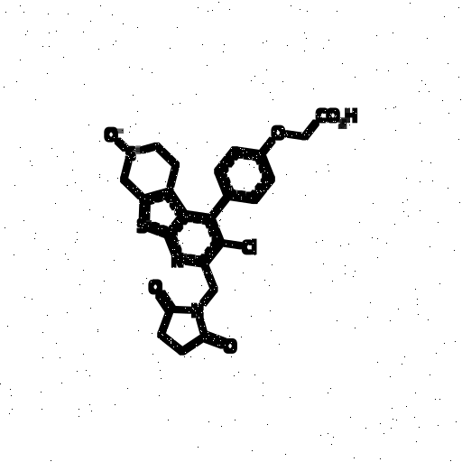 O=C(O)COc1ccc(-c2c(Cl)c(CN3C(=O)CCC3=O)nc3sc4c(c23)CC[S+]([O-])C4)cc1